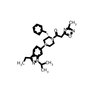 CCc1nn(C(C)C)c2cc(N3CCN(C(=O)Cc4nc(C)no4)[C@@H](Cc4ccccc4)C3)ccc12